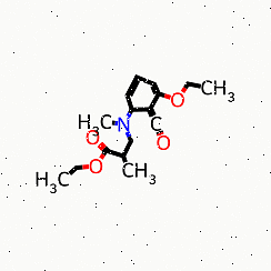 CCOC(=O)C(C)CN(C)C1C=CC=C(OCC)C1=C=O